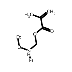 C=C(C)C(=O)OC[SiH](CC)OCC